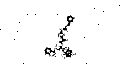 COc1ccccc1C(=O)OC[C@@](NC(=O)C(N)c1nsc(NC(=O)OCc2ccccc2)n1)(B1O[C@@H]2C[C@@H]3C[C@@H](C3(C)C)[C@]2(C)O1)C(C)(C)C